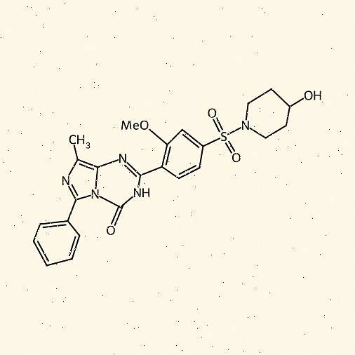 COc1cc(S(=O)(=O)N2CCC(O)CC2)ccc1-c1nc2c(C)nc(-c3ccccc3)n2c(=O)[nH]1